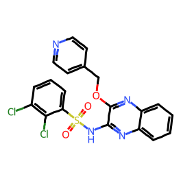 O=S(=O)(Nc1nc2ccccc2nc1OCc1ccncc1)c1cccc(Cl)c1Cl